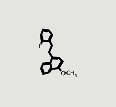 COc1ccc(CCc2ccccc2F)c2ccccc12